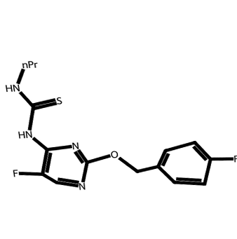 CCCNC(=S)Nc1nc(OCc2ccc(F)cc2)ncc1F